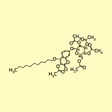 CCCCCCCCCCCOc1c(OC(C)=O)c(=O)oc2cc(O[C@@H]3O[C@H](COC(C)=O)[C@@H](OC(C)=O)[C@H](OC(C)=O)[C@H]3OC(C)=O)ccc12